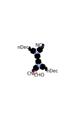 [C-]#[N+]/C(=C/c1ccc(N(c2ccc(CCCCCCCCCCCC)cc2)c2ccc(-c3ccc(N(c4ccc(/C=C(/C)C#N)cc4)c4ccc(CCCCCCCCCCCC)cc4)cc3)cc2)cc1)OC=O